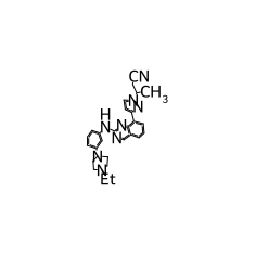 CCN1CCN(c2cccc(Nc3ncc4cccc(-c5ccn(C(C)CC#N)n5)c4n3)c2)CC1